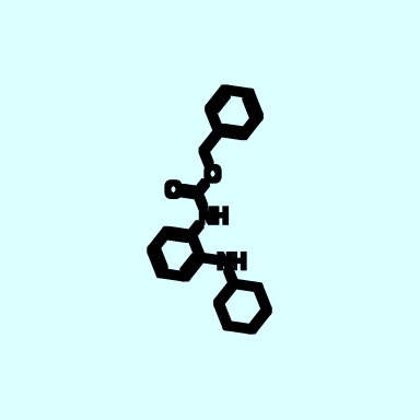 O=C(Nc1ccccc1NC1CCCCC1)OCc1ccccc1